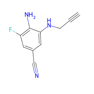 C#CCNc1cc(C#N)cc(F)c1N